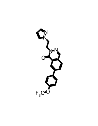 O=c1c2cc(-c3ccc(OC(F)(F)F)cc3)ccc2cnn1CCn1cccn1